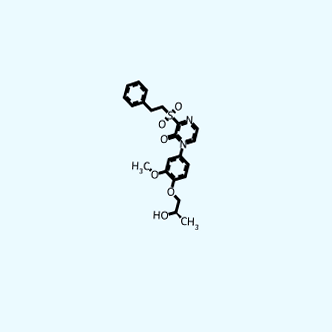 COc1cc(-n2ccnc(S(=O)(=O)CCc3ccccc3)c2=O)ccc1OC[C@@H](C)O